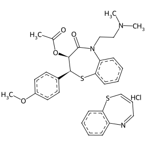 C1=CSc2ccccc2N=C1.COc1ccc([C@@H]2Sc3ccccc3N(CCN(C)C)C(=O)[C@@H]2OC(C)=O)cc1.Cl